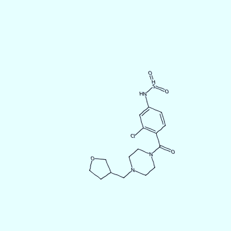 O=C(c1ccc(N[SH](=O)=O)cc1Cl)N1CCN(CC2CCOC2)CC1